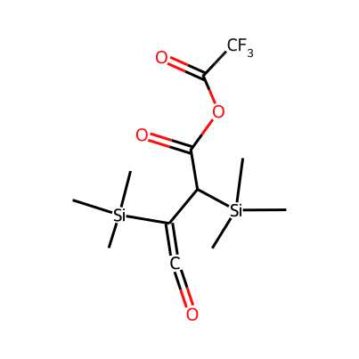 C[Si](C)(C)C(=C=O)C(C(=O)OC(=O)C(F)(F)F)[Si](C)(C)C